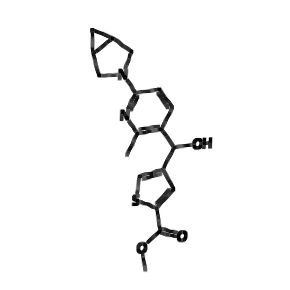 COC(=O)c1cc(C(O)c2ccc(N3CC4CC4C3)nc2C)cs1